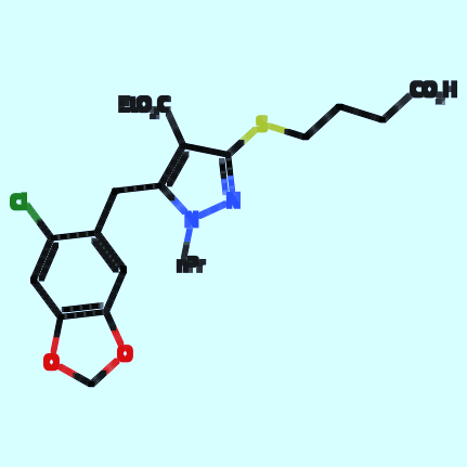 CCCn1nc(SCCCC(=O)O)c(C(=O)OCC)c1Cc1cc2c(cc1Cl)OCO2